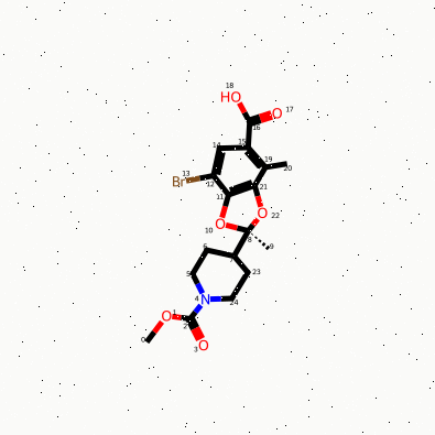 COC(=O)N1CCC([C@@]2(C)Oc3c(Br)cc(C(=O)O)c(C)c3O2)CC1